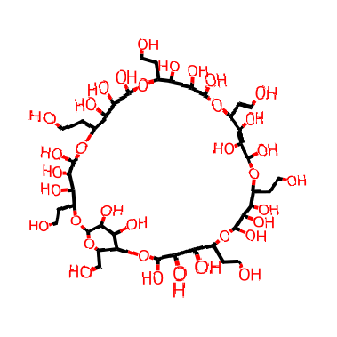 OCCC1OC(O)C(O)C(O)C(CCO)OC(O)C(O)C(O)C(CCO)OC(O)C(O)C(O)C(CCO)OC2OC(CO)C(OC(O)C(O)C(O)C(CCO)OC(O)C(O)C(O)C(CCO)OC(O)/C(O)=C/1O)C(O)C2O